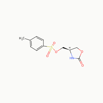 Cc1ccc(S(=O)(=O)OC[C@H]2COC(=O)N2)cc1